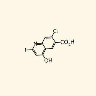 O=C(O)c1cc2c(O)cc(I)nc2cc1Cl